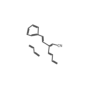 C=CC=C.C=CC=CC(C=Cc1ccccc1)=CC#N